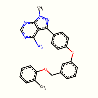 Cc1ccccc1OCc1cccc(Oc2ccc(-c3nn(C)c4ncnc(N)c34)cc2)c1